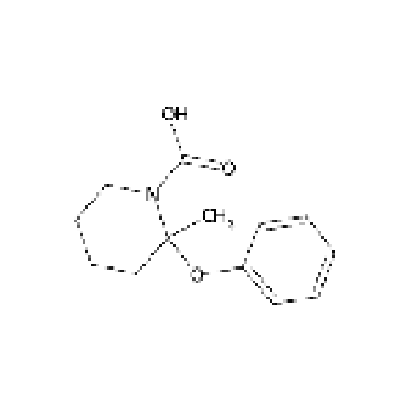 CC1(Oc2ccccc2)CCCCN1C(=O)O